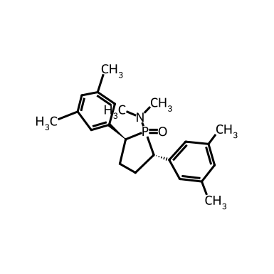 Cc1cc(C)cc([C@@H]2CC[C@@H](c3cc(C)cc(C)c3)P2(=O)N(C)C)c1